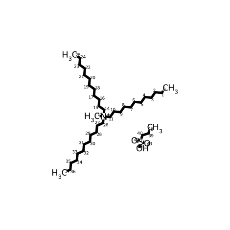 CCCCCCCCCCCC[N+](C)(CCCCCCCCCCCC)CCCCCCCCCCCC.CCCS(=O)(=O)O